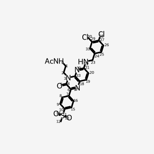 CC(=O)NCCn1c(=O)c(-c2ccc(S(C)(=O)=O)cc2)nc2ccc(NCc3ccc(Cl)c(Cl)c3)nc21